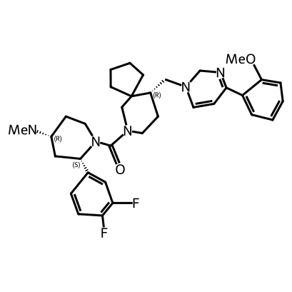 CN[C@@H]1CCN(C(=O)N2CC[C@@H](CN3C=CC(c4ccccc4OC)=NC3)C3(CCCC3)C2)[C@H](c2ccc(F)c(F)c2)C1